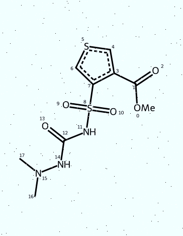 COC(=O)c1cscc1S(=O)(=O)NC(=O)NN(C)C